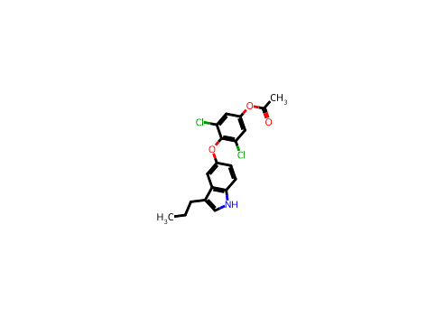 CCCc1c[nH]c2ccc(Oc3c(Cl)cc(OC(C)=O)cc3Cl)cc12